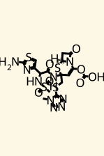 Cn1nnnc1SCC1(NC(=O)C(NS(C)(=O)=O)c2csc(N)n2)C=C(OC(=O)O)N2C(=O)C[C@@H]2S1